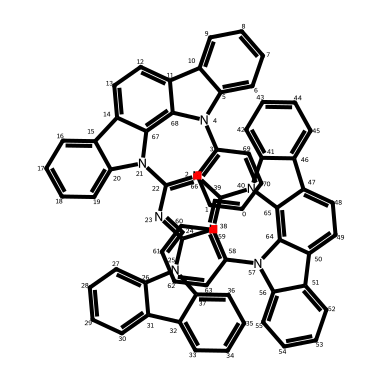 c1ccc(-n2c3ccccc3c3ccc4c5ccccc5n(-c5nc(-n6c7ccccc7c7ccccc76)nc(-n6c7ccccc7c7ccc8c9ccccc9n(-c9ccccc9)c8c76)n5)c4c32)cc1